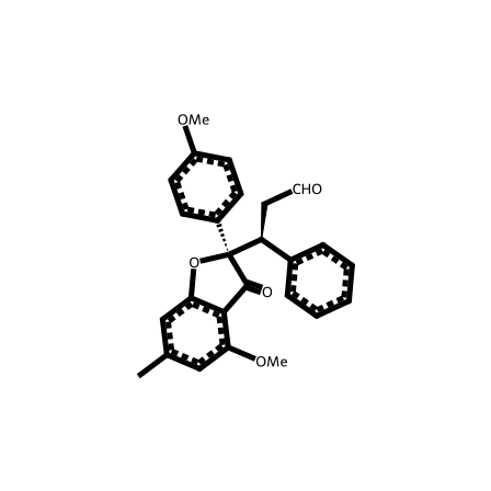 COc1ccc([C@@]2([C@@H](CC=O)c3ccccc3)Oc3cc(C)cc(OC)c3C2=O)cc1